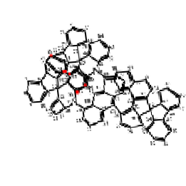 c1ccc2c(c1)-c1ccccc1C21c2ccccc2N(c2cccc3c(-c4cccc5c4-c4c(ccc6ccccc46)C54c5ccccc5-c5ccccc54)c4cccc(N5c6ccccc6C6(c7ccccc7-c7ccccc76)c6ccccc65)c4cc23)c2ccccc21